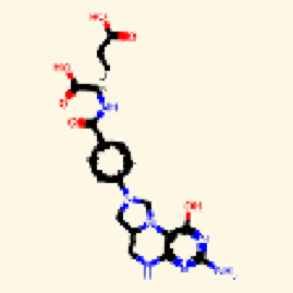 Nc1nc(O)c2c(n1)NCC1CN(c3ccc(C(=O)N[C@@H](CCC(=O)O)C(=O)O)cc3)CN21